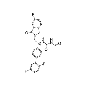 O=CNC(=O)N[C@@H](CN1Cc2ccc(F)cc2C1=O)c1ccc(-c2cc(F)ccc2F)cc1